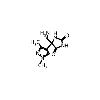 Cc1nn(C)cc1C1(CN)NC(=O)NC1=O